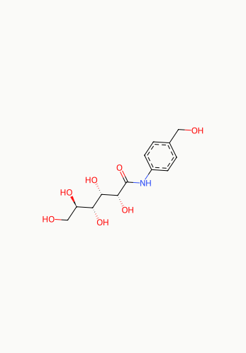 O=C(Nc1ccc(CO)cc1)[C@H](O)[C@@H](O)[C@H](O)[C@H](O)CO